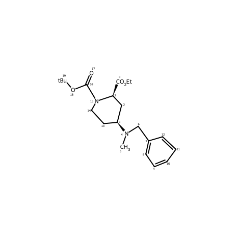 CCOC(=O)[C@H]1C[C@@H](N(C)Cc2ccccc2)CCN1C(=O)OC(C)(C)C